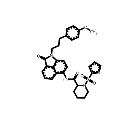 COc1ccc(CCCN2C(=O)c3cccc4c(NC(=O)C5CCCCN5S(=O)(=O)c5cccs5)ccc2c34)cc1